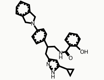 O=C(NCC(Cc1cc(C2CC2)[nH]n1)c1ccc(N2Cc3ccccc3C2)cc1)c1ccccc1O